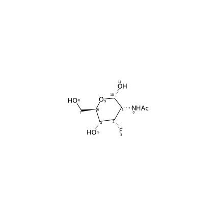 CC(=O)N[C@@H]1[C@H](F)[C@H](O)[C@@H](CO)O[C@@H]1O